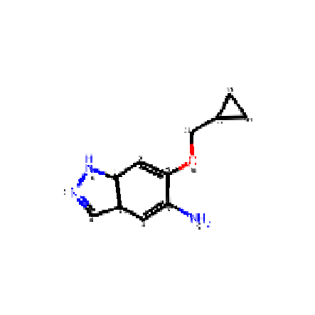 NC1=CC2C=NNC2C=C1OCC1CC1